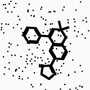 CC1(C)C=C(c2cccnc2)c2cc(C3=NCCN3)ccc2O1